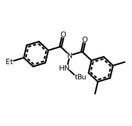 CCc1ccc(C(=O)N(NC(C)(C)C)C(=O)c2cc(C)cc(C)c2)cc1